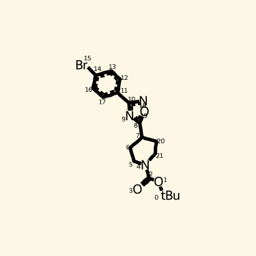 CC(C)(C)OC(=O)N1CCC(c2nc(-c3ccc(Br)cc3)no2)CC1